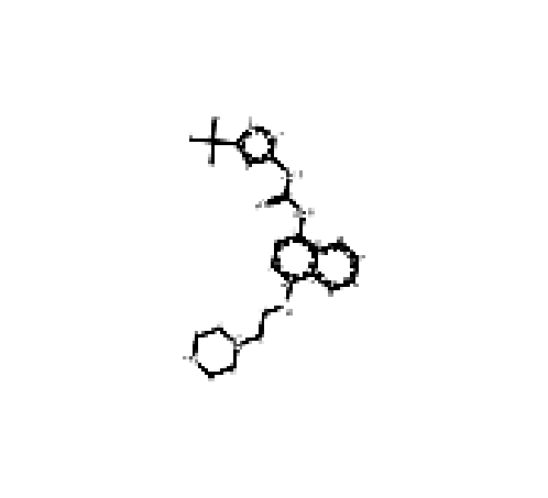 CC(C)(C)c1cc(NC(=O)Nc2ccc(OCCN3CCOCC3)c3ccccc23)on1